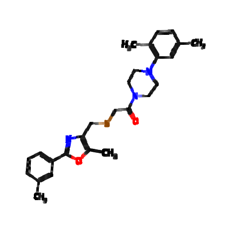 Cc1cccc(-c2nc(CSCC(=O)N3CCN(c4cc(C)ccc4C)CC3)c(C)o2)c1